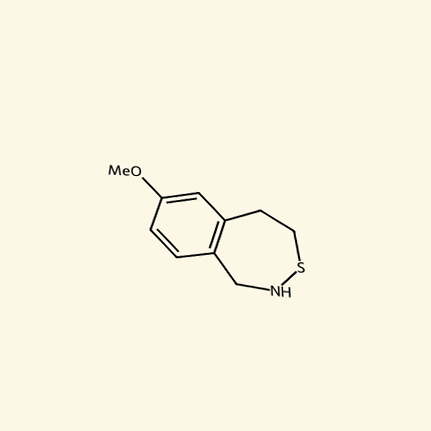 COc1ccc2c(c1)CCSNC2